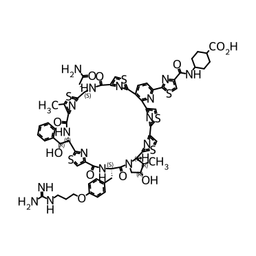 Cc1sc2nc1C(=O)N[C@@H]([C@H](O)c1ccccc1)c1nc(cs1)C(=O)N[C@@H](Cc1ccc(OCCCNC(=N)N)cc1)C(=O)N1C[C@H](O)[C@H](C)[C@H]1c1nc(cs1)-c1nc(cs1)-c1nc(-c3nc(C(=O)NC4CCC(C(=O)O)CC4)cs3)ccc1-c1nc(cs1)C(=O)N[C@H]2CC(N)=O